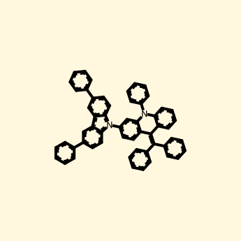 c1ccc(C(=C2c3ccccc3N(c3ccccc3)c3cc(-n4c5ccc(-c6ccccc6)cc5c5cc(-c6ccccc6)ccc54)ccc32)c2ccccc2)cc1